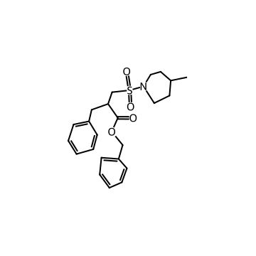 CC1CCN(S(=O)(=O)CC(Cc2ccccc2)C(=O)OCc2ccccc2)CC1